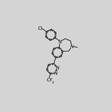 CN1CCN(c2ccc(Cl)cc2)c2ccc(-c3ccc(C(F)(F)F)nn3)cc2C1